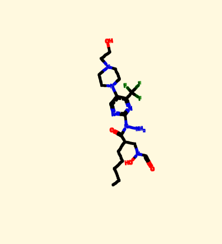 CCCCCC(CN(O)C=O)C(=O)N(N)c1ncc(N2CCN(CCO)CC2)c(C(F)(F)F)n1